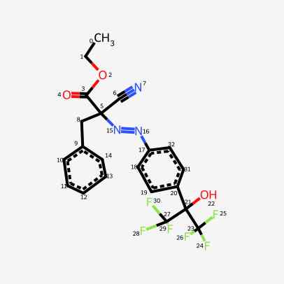 CCOC(=O)C(C#N)(Cc1ccccc1)N=Nc1ccc(C(O)(C(F)(F)F)C(F)(F)F)cc1